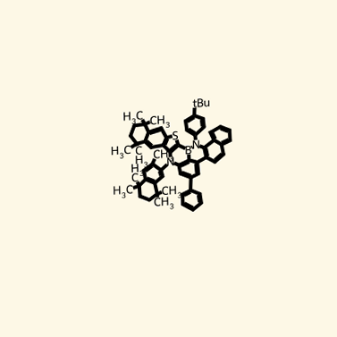 Cc1cc2c(cc1N1c3cc(-c4ccccc4)cc4c3B(c3sc5cc6c(cc5c31)C(C)(C)CCC6(C)C)N(c1ccc(C(C)(C)C)cc1)c1c-4ccc3ccccc13)C(C)(C)CCC2(C)C